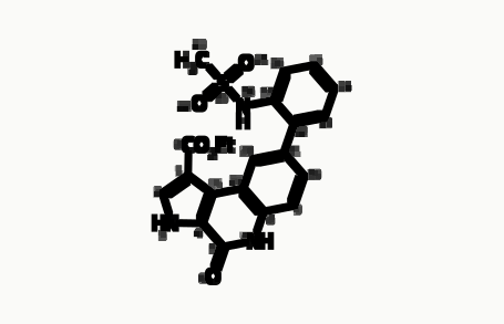 CCOC(=O)c1c[nH]c2c(=O)[nH]c3ccc(-c4ccccc4NS(C)(=O)=O)cc3c12